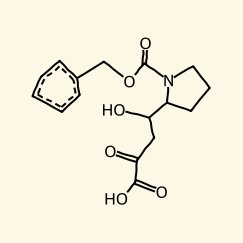 O=C(O)C(=O)CC(O)C1CCCN1C(=O)OCc1ccccc1